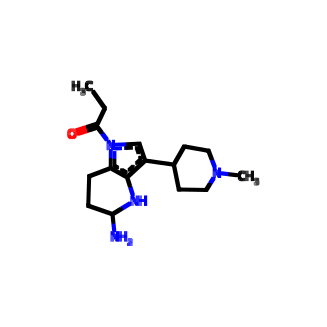 CCC(=O)n1cc(C2CCN(C)CC2)c2c1CCC(N)N2